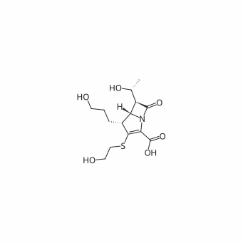 C[C@@H](O)[C@H]1C(=O)N2C(C(=O)O)=C(SCCO)[C@H](CCCO)[C@H]12